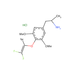 Cl.[2H]C(Oc1c(OC)cc(CC(C)N)cc1OC)=C(F)F